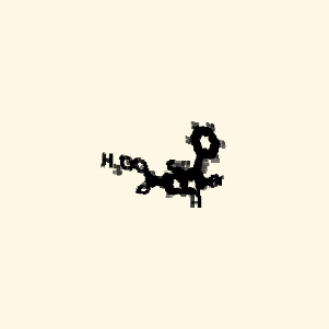 COC(=O)c1cc2[nH]c(Br)c(-c3ccccc3)c2s1